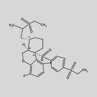 CCS(=O)(=O)c1ccc(S(=O)(=O)[C@@]23CCC[C@@H](CC(C)S(=O)(=O)CC)[C@@H]2COc2c(F)ccc(F)c23)cc1